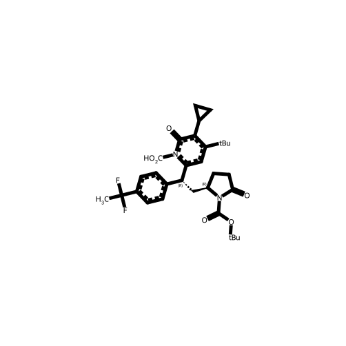 CC(C)(C)OC(=O)N1C(=O)CC[C@@H]1C[C@H](c1ccc(C(C)(F)F)cc1)c1cc(C(C)(C)C)c(C2CC2)c(=O)n1C(=O)O